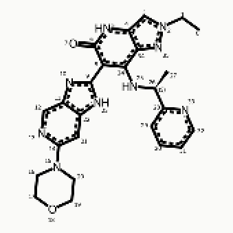 CCn1cc2[nH]c(=O)c(-c3nc4cnc(N5CCOCC5)cc4[nH]3)c(N[C@@H](C)c3ccccn3)c2n1